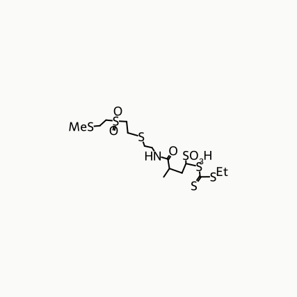 CCSC(=S)SC(CC(C)C(=O)NCCSCCS(=O)(=O)CCSC)S(=O)(=O)O